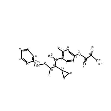 CC(=O)N(c1ccc(OC(=O)C(=O)C(F)(F)F)nc1C)C(C(C)CNc1ccccc1)C1CC1